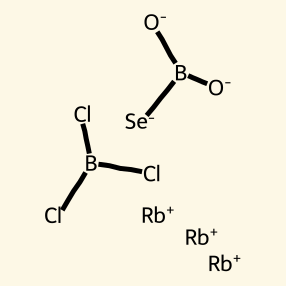 ClB(Cl)Cl.[O-]B([O-])[Se-].[Rb+].[Rb+].[Rb+]